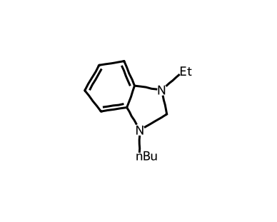 CCCCN1CN(CC)c2ccccc21